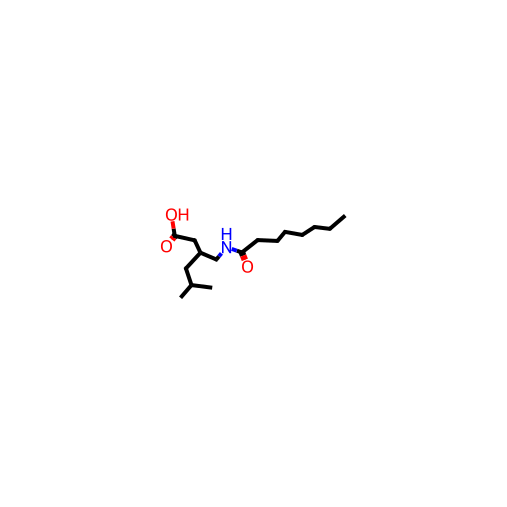 CCCCCCCC(=O)NCC(CC(=O)O)CC(C)C